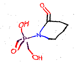 O=C1CCN1P(=O)(O)O